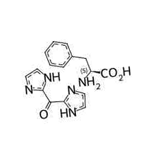 N[C@@H](Cc1ccccc1)C(=O)O.O=C(c1ncc[nH]1)c1ncc[nH]1